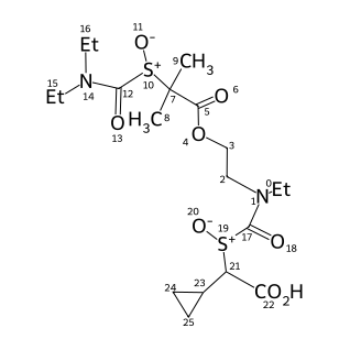 CCN(CCOC(=O)C(C)(C)[S+]([O-])C(=O)N(CC)CC)C(=O)[S+]([O-])C(C(=O)O)C1CC1